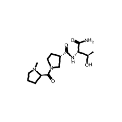 C[C@@H](O)[C@H](NC(=O)[C@H]1CCN(C(=O)[C@H]2CCCN2C)C1)C(N)=O